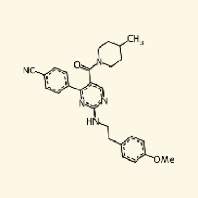 COc1ccc(CCNc2ncc(C(=O)N3CCC(C)CC3)c(-c3ccc(C#N)cc3)n2)cc1